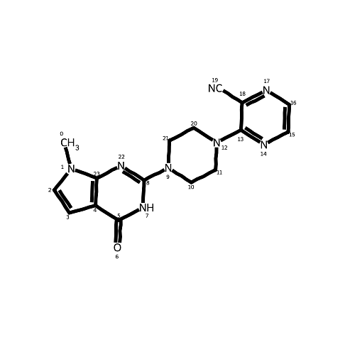 Cn1ccc2c(=O)[nH]c(N3CCN(c4nccnc4C#N)CC3)nc21